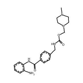 CN1CCN(COC(=O)NCc2ccc(C(=O)Nc3ccccc3N)cc2)CC1